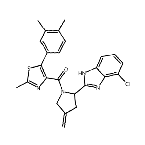 C=C1CC(c2nc3c(Cl)cccc3[nH]2)N(C(=O)c2nc(C)sc2-c2ccc(C)c(C)c2)C1